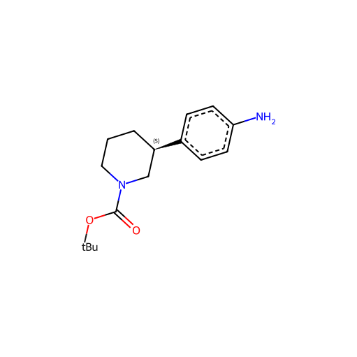 CC(C)(C)OC(=O)N1CCC[C@@H](c2ccc(N)cc2)C1